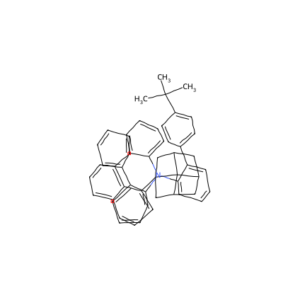 CC(C)(C)c1ccc(-c2ccccc2N(c2ccccc2-c2ccccc2)c2ccccc2-c2cccc3cccc(C45CC6CC7CC(C4)C765)c23)cc1